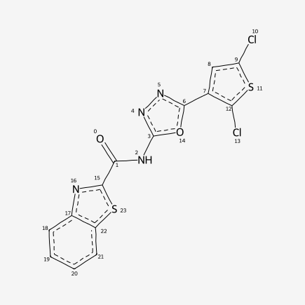 O=C(Nc1nnc(-c2cc(Cl)sc2Cl)o1)c1nc2ccccc2s1